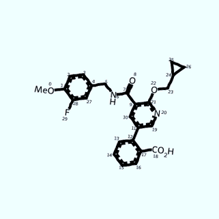 COc1ccc(CNC(=O)c2cc(-c3ccccc3C(=O)O)cnc2OCC2CC2)cc1F